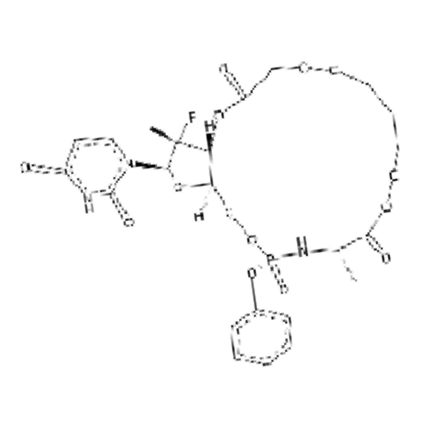 C[C@@H]1N[P@](=O)(Oc2ccccc2)OC[C@H]2O[C@@H](n3ccc(=O)[nH]c3=O)[C@](C)(F)[C@@H]2OC(=O)CCCCCCCOC1=O